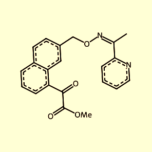 COC(=O)C(=O)c1cccc2ccc(CO/N=C(/C)c3ccccn3)cc12